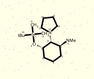 CN[C@H]1CCC[C@H](O[Si](C)(C)C(C)(C)C)[C@@H]1N1CCCC1